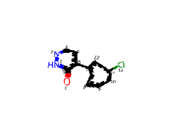 O=c1[nH]nccc1-c1cccc(Cl)c1